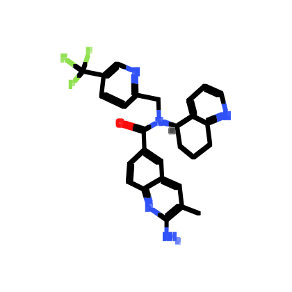 Cc1cc2cc(C(=O)N(Cc3ccc(C(F)(F)F)cn3)[C@@H]3CCCc4ncccc43)ccc2nc1N